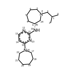 CC(C)CN1CCCC[C@@H](Nc2nccc(N3CCCCCC3)n2)C1